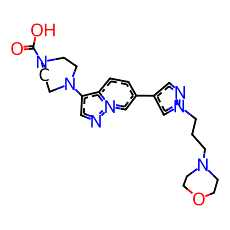 O=C(O)N1CCN(c2cnn3cc(-c4cnn(CCCN5CCOCC5)c4)ccc23)CC1